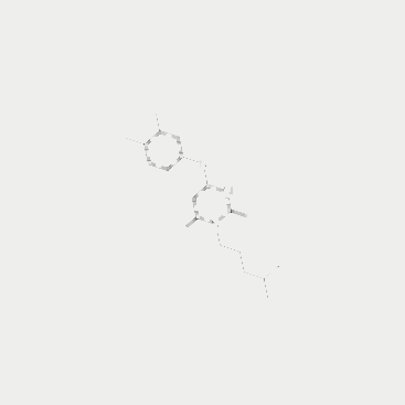 CCc1cc(Nc2cc(=O)n(CCCC(C)I)c(=O)[nH]2)ccc1C